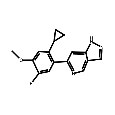 COc1cc(C2CC2)c(-c2cc3[nH]ncc3cn2)cc1F